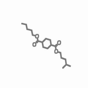 CCCCCOC(=O)C1CCC(C(=O)OCCCC(C)C)CC1